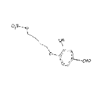 O=Cc1ccc(OCCCCO[N+](=O)[O-])c(O)c1